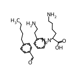 CCCCCc1ccc(C=O)cc1.NCCCCC(N)C(=O)O.NCCc1ccccc1